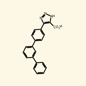 O=C(O)c1[nH]nnc1-c1ccc(-c2cccc(-c3ccccc3)c2)cc1